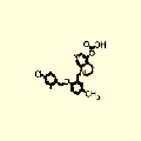 Cc1ccc(OCc2ccc(Cl)cc2F)c(CN2CCCc3c(OC(=O)O)cncc32)c1